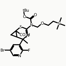 CC(C)(C)OC(=O)N(COCC[Si](C)(C)C)C1=NC(C)(c2cc(Br)cnc2F)C2CC2(C(=O)O)S1